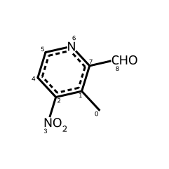 Cc1c([N+](=O)[O-])ccnc1C=O